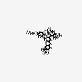 COc1ccc(Nc2ncc(Cc3ccc(S(C)(=O)=O)cc3)cc2-c2nc(C)nc3[nH]cnc23)cn1